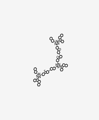 c1ccc2cc(-c3nc(-c4ccc5c(c4)oc4cc(-c6cccc7c6oc6ccc(-c8nc(-c9ccc%10cc(-c%11ccc%12c(c%11)sc%11cc(-c%13nc(-c%14ccc%15ccccc%15c%14)nc(-n%14c%15ccccc%15c%15c%16ccccc%16ccc%15%14)n%13)ccc%11%12)ccc%10c9)nc(-n9c%10ccccc%10c%10c%11ccccc%11ccc%109)n8)cc67)ccc45)nc(-n4c5ccccc5c5c6ccccc6ccc54)n3)ccc2c1